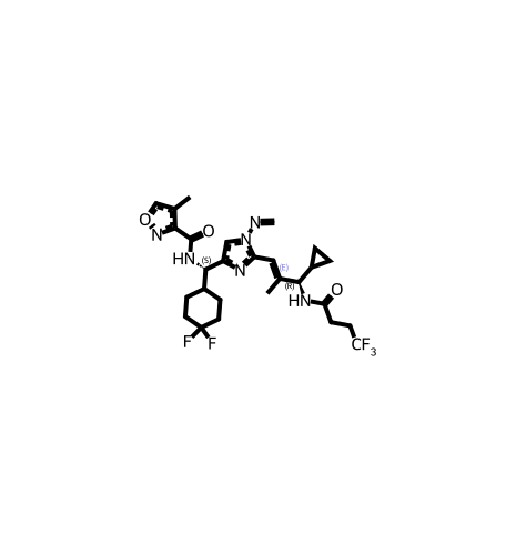 C=Nn1cc([C@@H](NC(=O)c2nocc2C)C2CCC(F)(F)CC2)nc1/C=C(\C)[C@H](NC(=O)CCC(F)(F)F)C1CC1